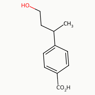 CC(CCO)c1ccc(C(=O)O)cc1